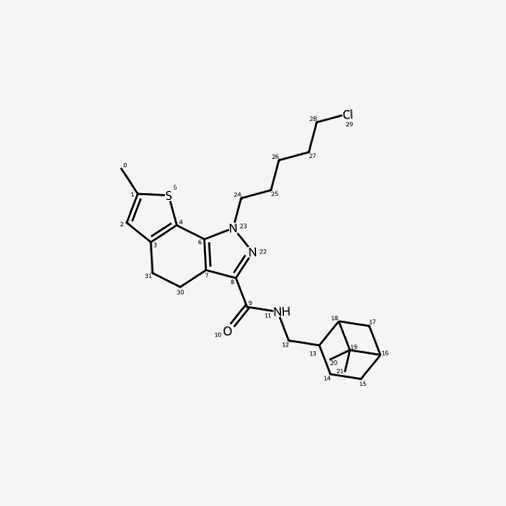 Cc1cc2c(s1)-c1c(c(C(=O)NCC3CCC4CC3C4(C)C)nn1CCCCCCl)CC2